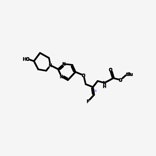 CC(C)(C)OC(=O)NC/C(=C/F)COc1cnc(N2CCC(O)CC2)nc1